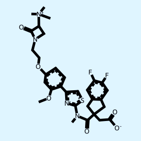 COc1cc(OCCN2CC([N+](C)(C)C)C2=O)ccc1-c1csc(N(C)C(=O)C2(CC(=O)[O-])Cc3cc(F)c(F)cc3C2)n1